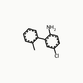 Cc1ccccc1-c1cc(Cl)ccc1N